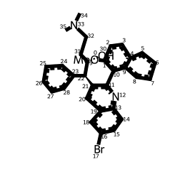 COc1ccc2ccccc2c1-c1nc2ccc(Br)cc2cc1[C@@H](c1ccccc1)[C@@H](O)CCN(C)C